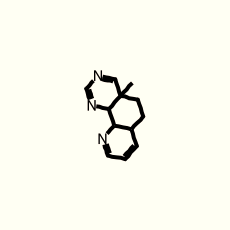 CC12C=NC=NC1C1N=CC=CC1CC2